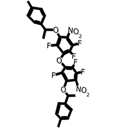 Cc1ccc(C(C)Oc2c(F)c(Oc3c(F)c(F)c([N+](=O)[O-])c(OC(C)c4ccc(C)cc4)c3F)c(F)c(F)c2[N+](=O)[O-])cc1